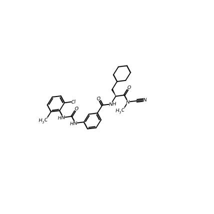 Cc1cccc(Cl)c1NC(=O)Nc1cccc(C(=O)N[C@@H](CC2CCCCC2)C(=O)N(C)C#N)c1